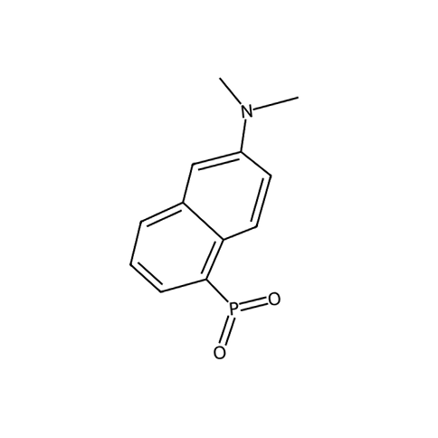 CN(C)c1ccc2c(P(=O)=O)cccc2c1